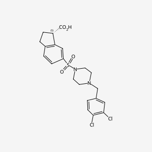 O=C(O)[C@H]1CCc2ccc(S(=O)(=O)N3CCN(Cc4ccc(Cl)c(Cl)c4)CC3)cc21